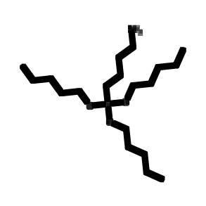 CCCCCO[Si](CCCCN)(OCCCCC)OCCCCC